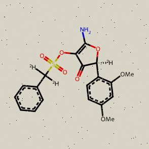 [2H]C([2H])(c1ccccc1)S(=O)(=O)OC1=C(N)O[C@@]([2H])(c2ccc(OC)cc2OC)C1=O